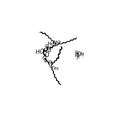 CCCCCCCCCCC(O)CN(CCCCOC(=O)CC(C)(O)CC(=O)OCCCCN(CC(O)CCCCCCCCCC)CC(O)CCCCCCCCCC)CC(O)CCCCCCCCCC.O=C(O)C(F)(F)F